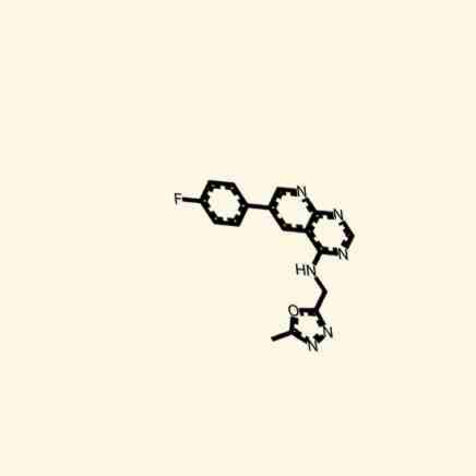 Cc1nnc(CNc2ncnc3ncc(-c4ccc(F)cc4)cc23)o1